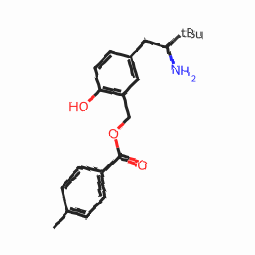 Cc1ccc(C(=O)OCc2cc([CH]C(N)C(C)(C)C)ccc2O)cc1